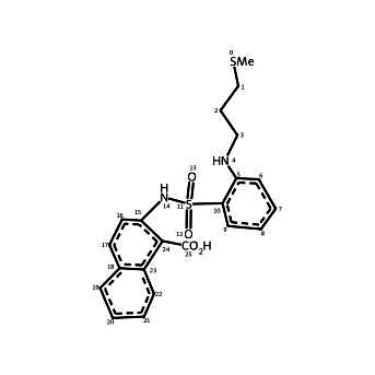 CSCCCNc1ccccc1S(=O)(=O)Nc1ccc2ccccc2c1C(=O)O